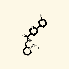 CN1CCCCC1CNC(=O)c1ccc(-c2cccc(F)c2)nc1